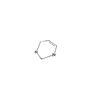 C1=C[N]C[N]C1